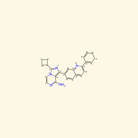 Nc1nccn2c(C3CCC3)nc(-c3ccc4ccc(C5=CCCC=C5)nc4c3)c12